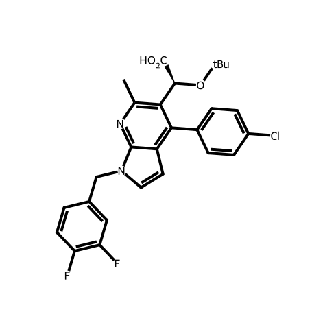 Cc1nc2c(ccn2Cc2ccc(F)c(F)c2)c(-c2ccc(Cl)cc2)c1[C@H](OC(C)(C)C)C(=O)O